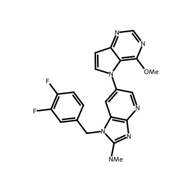 CNc1nc2ncc(-n3ccc4ncnc(OC)c43)cc2n1Cc1ccc(F)c(F)c1